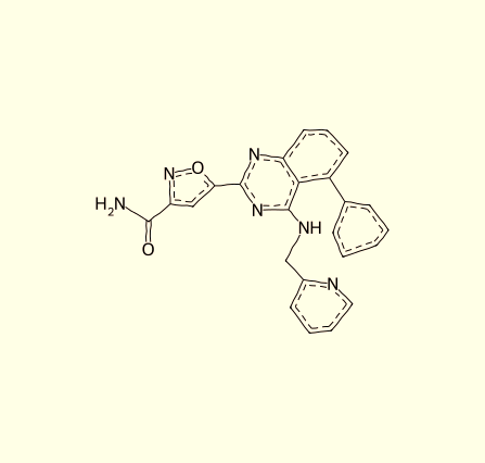 NC(=O)c1cc(-c2nc(NCc3ccccn3)c3c(-c4ccccc4)cccc3n2)on1